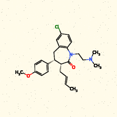 C/C=C/C[C@H]1C(=O)N(CCN(C)C)c2ccc(Cl)cc2C[C@H]1c1ccc(OC)cc1